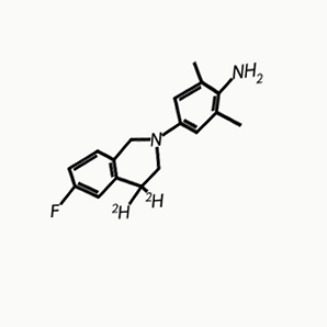 [2H]C1([2H])CN(c2cc(C)c(N)c(C)c2)Cc2ccc(F)cc21